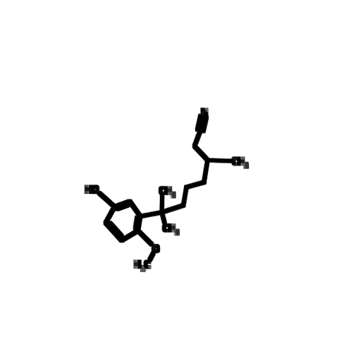 COc1ccc(O)cc1C(C)(C)CCCC(C)CC#N